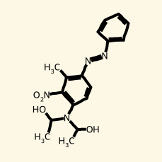 Cc1c(N=Nc2ccccc2)ccc(N(C(C)O)C(C)O)c1[N+](=O)[O-]